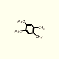 [CH2]c1cc(OC)c(OC)cc1C